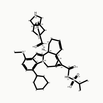 COc1ccc(C2CCCCC2)c2c1cc1n2CC2=C(C(=O)NS(=O)(=O)C(C)C)C2=C2C=CC[C@@H](C(=O)N3CC45CNCC4(COC5)C3)[C@@H]21